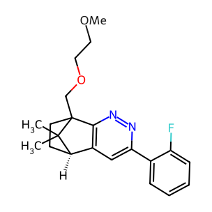 COCCOCC12CC[C@H](c3cc(-c4ccccc4F)nnc31)C2(C)C